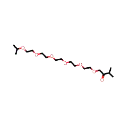 CC(C)OCCOCCOCCOCCOCCOCC(=O)C(C)C